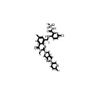 Cc1cc([C@@H](C)Nc2ccc(Cl)nc2C(=O)NS(C)(=O)=O)c2nc(N3Cc4cn(-c5ccc(C)nc5)nc4C3)n(C)c(=O)c2c1